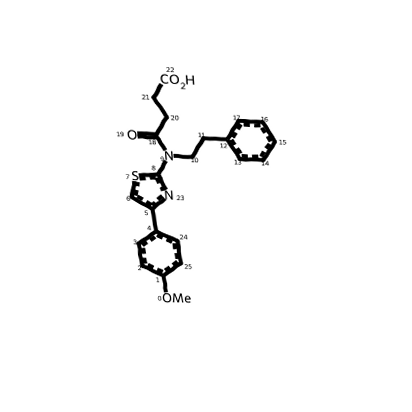 COc1ccc(-c2csc(N(CCc3ccccc3)C(=O)CCC(=O)O)n2)cc1